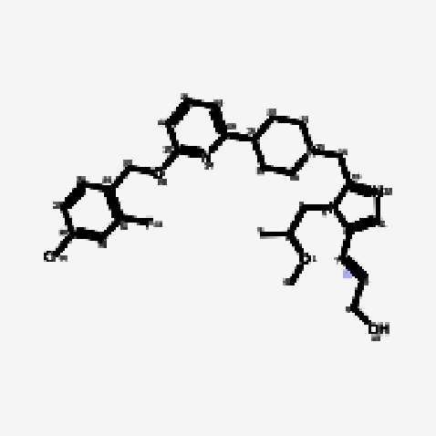 COC(C)Cn1c(/C=C/CO)cnc1CN1CCC(c2cccc(OCc3ccc(Cl)cc3F)n2)CC1